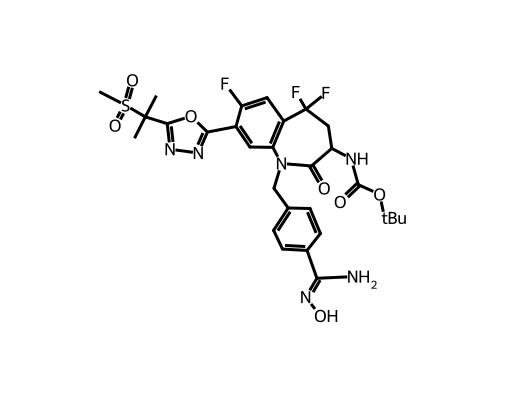 CC(C)(C)OC(=O)NC1CC(F)(F)c2cc(F)c(-c3nnc(C(C)(C)S(C)(=O)=O)o3)cc2N(Cc2ccc(/C(N)=N/O)cc2)C1=O